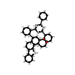 c1ccc(-c2nc(-c3ccccc3)nc(-c3ccccc3-c3cc4ccccc4c4c3ccc3c5ccccc5sc34)n2)cc1